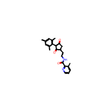 Cc1cc(C)c(C2C(=O)CC(CCNC(=O)c3ncccc3C)C2=O)c(C)c1